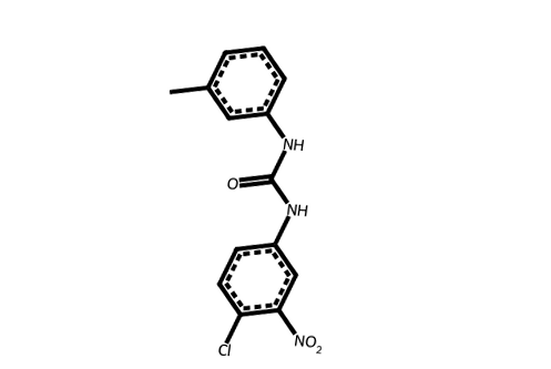 Cc1cccc(NC(=O)Nc2ccc(Cl)c([N+](=O)[O-])c2)c1